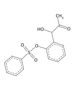 CC(=O)C(O)c1ccccc1OS(=O)(=O)c1ccccc1